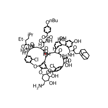 CCCCOc1ccc(S(=O)(=O)NC(=O)C[C@@H]2CC(=O)[C@H](NC(=O)[C@H](CC)CC(C)C)[C@H](O)c3ccc(c(Cl)c3)Oc3cc4cc(c3O[C@@H]3C[C@H](CN)[C@@H](O)[C@H](O)[C@H]3O)Oc3ccc(cc3Cl)[C@@H](O)[C@@H]3NC(=O)[C@H](CC(=O)[C@@H]4NC2=O)c2ccc(O)c(c2)-c2c(O)cc(O)cc2[C@@H](C(=O)CC2C4CC5CC(C4)CC2C5)NC3=O)cc1